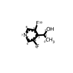 CC(O)c1c(F)cncc1F